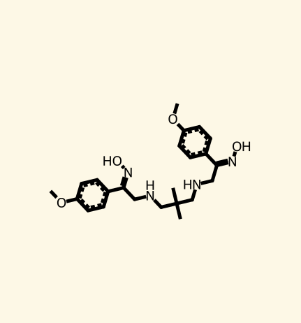 COc1ccc(/C(CNCC(C)(C)CNC/C(=N/O)c2ccc(OC)cc2)=N\O)cc1